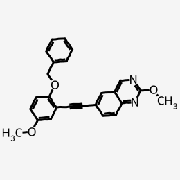 COc1ccc(OCc2ccccc2)c(C#Cc2ccc3nc(OC)ncc3c2)c1